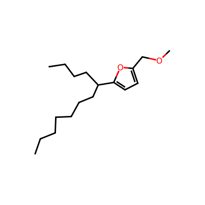 CCCCCCCC(CCCC)c1ccc(COC)o1